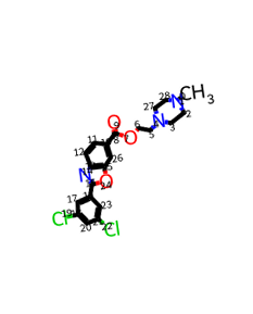 CN1CCN(CCOC(=O)c2ccc3nc(-c4cc(Cl)cc(Cl)c4)oc3c2)CC1